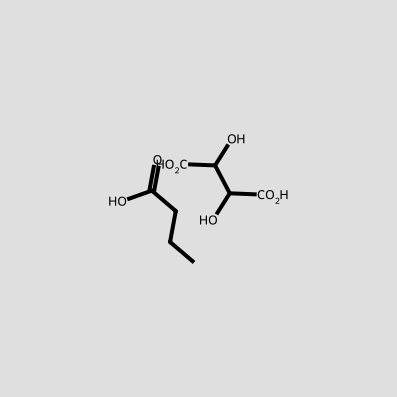 CCCC(=O)O.O=C(O)C(O)C(O)C(=O)O